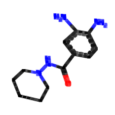 Nc1ccc(C(=O)NN2CCCCC2)cc1N